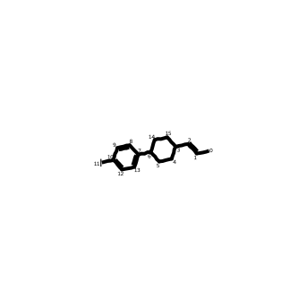 C/C=C/C1CCC(c2ccc(I)cc2)CC1